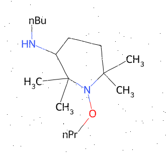 CCCCNC1CCC(C)(C)N(OCCC)C1(C)C